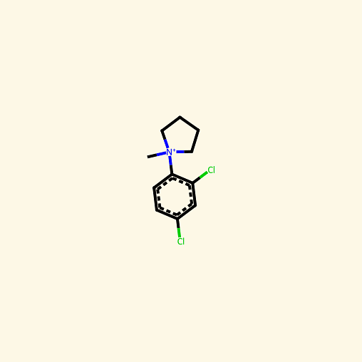 C[N+]1(c2ccc(Cl)cc2Cl)CCCC1